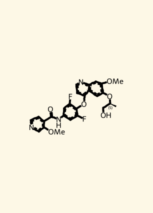 COc1cc2nccc(Oc3c(F)cc(NC(=O)c4ccncc4OC)cc3F)c2cc1O[C@@H](C)CO